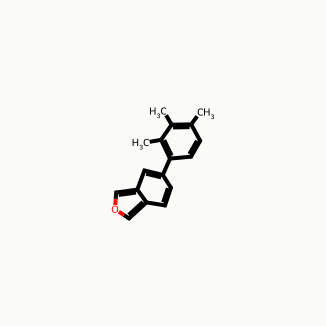 Cc1ccc(-c2ccc3cocc3c2)c(C)c1C